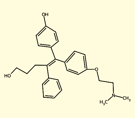 CN(C)CCOc1ccc(C(=C(CCCO)c2ccccc2)c2ccc(O)cc2)cc1